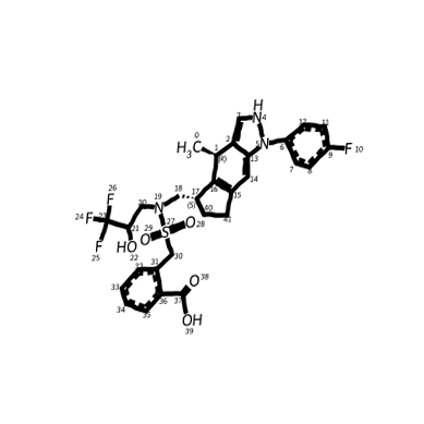 C[C@H]1C2=CNN(c3ccc(F)cc3)C2=CC2=C1[C@@H](CN(CC(O)C(F)(F)F)S(=O)(=O)Cc1ccccc1C(=O)O)CC2